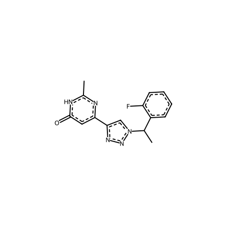 Cc1nc(-c2cn(C(C)c3ccccc3F)nn2)cc(=O)[nH]1